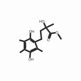 COC(=O)C(C)(O)CCc1c(C)c(O)c(C)c(C)c1O